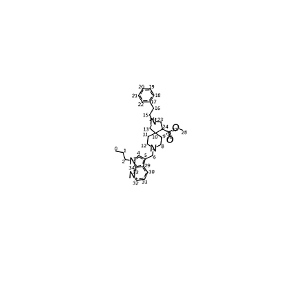 CCCn1cc(CN2CCC3(CC2)CN(CCc2ccccc2)CC3C(=O)OC)c2cccnc21